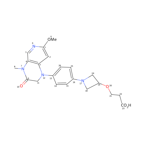 COc1cc2c(cn1)N(C)C(=O)CN2c1ccc(N2CC(OCCC(=O)O)C2)cc1